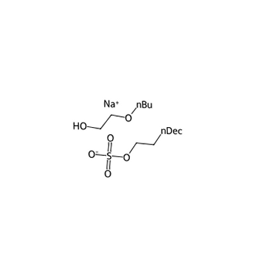 CCCCCCCCCCCCOS(=O)(=O)[O-].CCCCOCCO.[Na+]